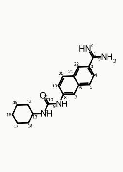 N=C(N)c1ccc2cc(NC(=O)NC3CCCCC3)ccc2c1